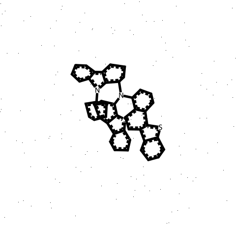 c1ccc(-n2c3ccccc3c3cccc(N(c4cccc5c4ccc4c6ccccc6sc54)c4cccc5c4sc4ccccc45)c32)cc1